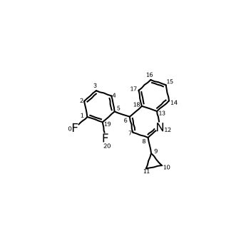 Fc1cccc(-c2cc(C3CC3)nc3ccccc23)c1F